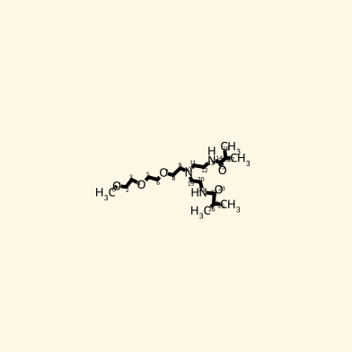 COCCOCCOCCN(CCNC(=O)C(C)C)CCNC(=O)C(C)C